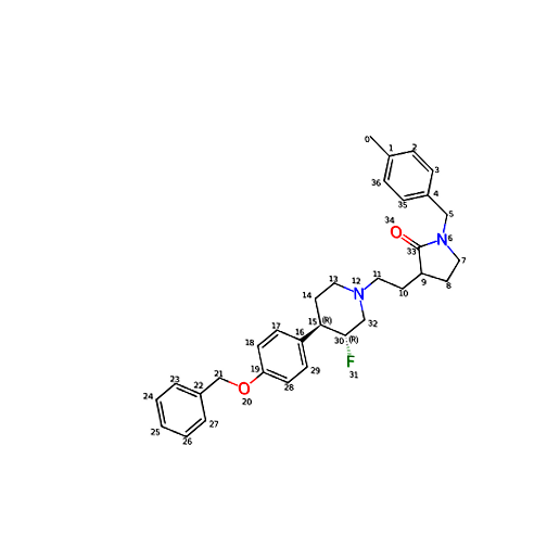 Cc1ccc(CN2CCC(CCN3CC[C@H](c4ccc(OCc5ccccc5)cc4)[C@@H](F)C3)C2=O)cc1